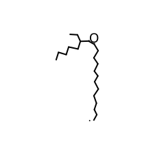 [CH2]CCCCCCCCCCCC1OC1C(CC)CCCCC